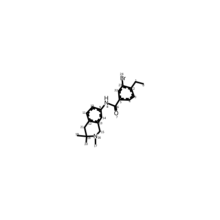 CCc1ccc(C(=O)Nc2ccc3c(c2)CN(C)C(C)(C)C3)cc1Br